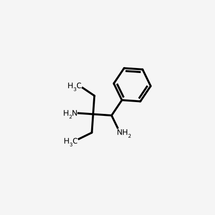 CCC(N)(CC)C(N)c1ccccc1